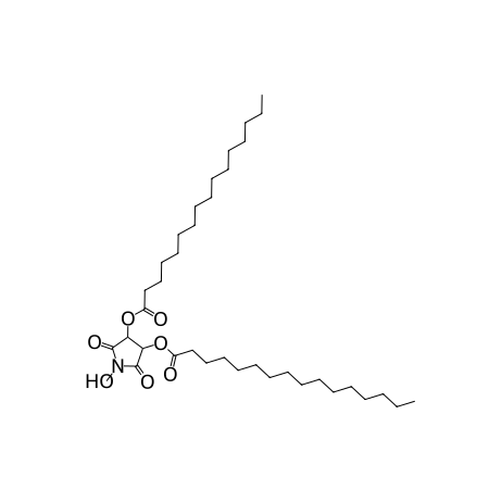 CCCCCCCCCCCCCCCC(=O)OC1C(=O)N(O)C(=O)C1OC(=O)CCCCCCCCCCCCCCC